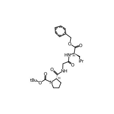 CC(C)C[C@@H](NC(=O)CNC(=O)[C@@H]1CCCN1C(=O)OC(C)(C)C)C(=O)OCc1ccccc1